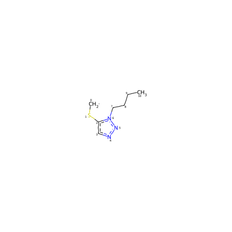 [CH2]Sc1cnnn1CCCC